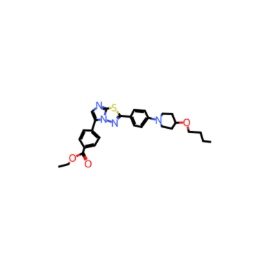 CCCCOC1CCN(c2ccc(-c3nn4c(-c5ccc(C(=O)OCC)cc5)cnc4s3)cc2)CC1